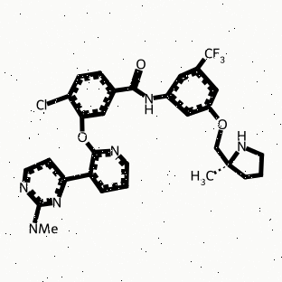 CNc1nccc(-c2cccnc2Oc2cc(C(=O)Nc3cc(OC[C@]4(C)CCCN4)cc(C(F)(F)F)c3)ccc2Cl)n1